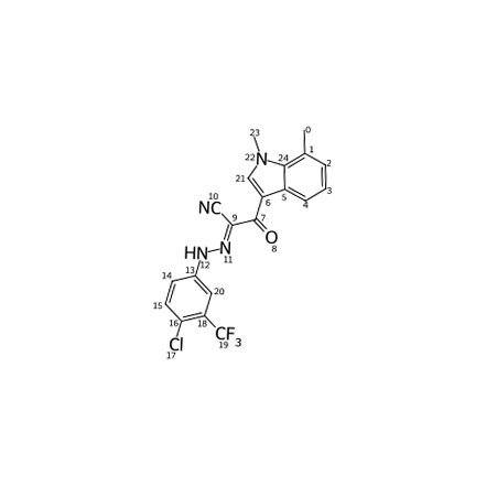 Cc1cccc2c(C(=O)/C(C#N)=N/Nc3ccc(Cl)c(C(F)(F)F)c3)cn(C)c12